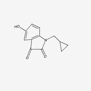 O=C1C(=O)N(CC2CC2)c2ccc(O)cc21